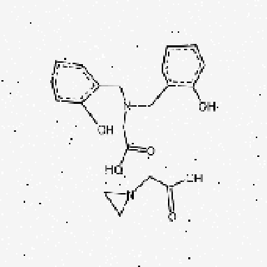 O=C(O)CN(Cc1ccccc1O)Cc1ccccc1O.O=C(O)CN1CC1